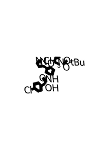 Cn1nccc1-c1cc(NC(=O)C(O)c2ccc(Cl)cc2)ccc1OC1CCN(C(=O)OC(C)(C)C)C1